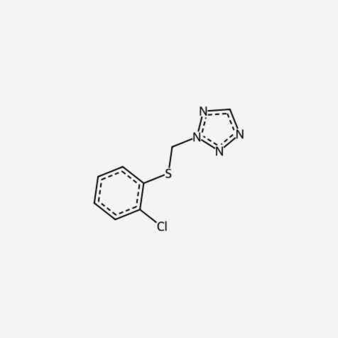 Clc1ccccc1SCn1ncnn1